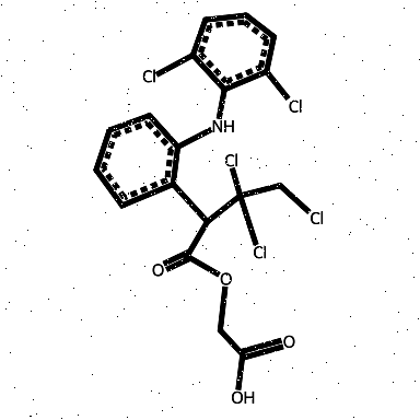 O=C(O)COC(=O)C(c1ccccc1Nc1c(Cl)cccc1Cl)C(Cl)(Cl)CCl